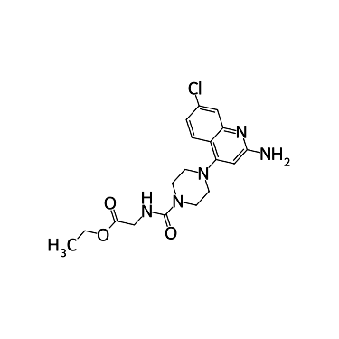 CCOC(=O)CNC(=O)N1CCN(c2cc(N)nc3cc(Cl)ccc23)CC1